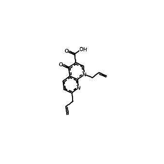 C=CCc1ccc2c(=O)c(C(=O)O)cn(CC=C)c2n1